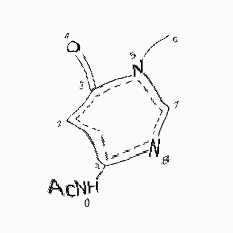 CC(=O)Nc1cc(=O)n(C)cn1